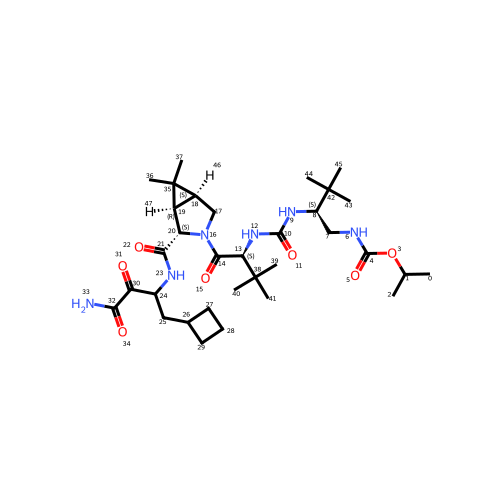 CC(C)OC(=O)NC[C@@H](NC(=O)N[C@H](C(=O)N1C[C@H]2[C@@H]([C@H]1C(=O)NC(CC1CCC1)C(=O)C(N)=O)C2(C)C)C(C)(C)C)C(C)(C)C